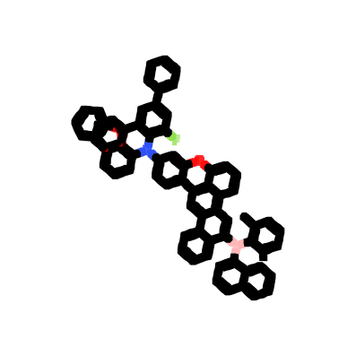 Cc1cccc(C)c1B(c1cccc2ccccc12)c1cc2c3cccc4c3c(cc2c2ccccc12)-c1ccc(N(c2c(F)cc(-c3ccccc3)cc2-c2ccccc2)c2cccc3c2oc2ccccc23)cc1O4